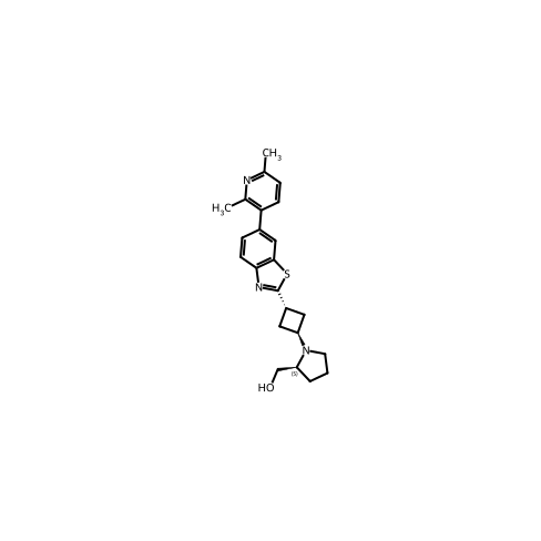 Cc1ccc(-c2ccc3nc([C@H]4C[C@H](N5CCC[C@H]5CO)C4)sc3c2)c(C)n1